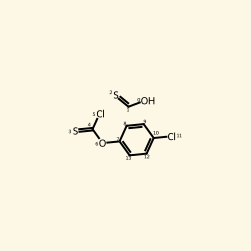 OC=S.S=C(Cl)Oc1ccc(Cl)cc1